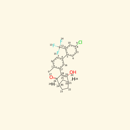 Cc1ccc(-c2ccc(Cl)cc2C(F)(F)F)cc1C1=C(O)[C@H]2CC[C@H](C2)C1=O